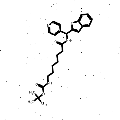 CC(C)(C)OC(=O)NCCCCCCC(=O)NC(c1ccncc1)c1cc2ccccc2o1